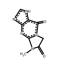 CN1C(=O)Cn2c1nc1nc[nH]c1c2=O